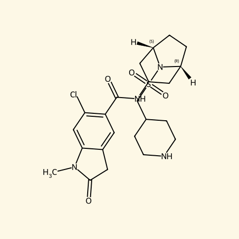 CN1C(=O)Cc2cc(C(=O)NC3C[C@H]4CC[C@@H](C3)N4S(=O)(=O)CC3CCNCC3)c(Cl)cc21